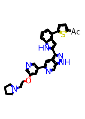 CC(=O)c1ccc(-c2cccc3[nH]c(-c4n[nH]c5cnc(-c6cncc(OCCN7CCCC7)c6)cc45)cc23)s1